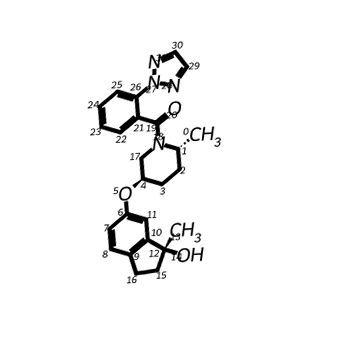 C[C@@H]1CC[C@@H](Oc2ccc3c(c2)[C@](C)(O)CC3)CN1C(=O)c1ccccc1-n1nccn1